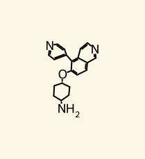 N[C@H]1CC[C@@H](Oc2ccc3cnccc3c2-c2ccncc2)CC1